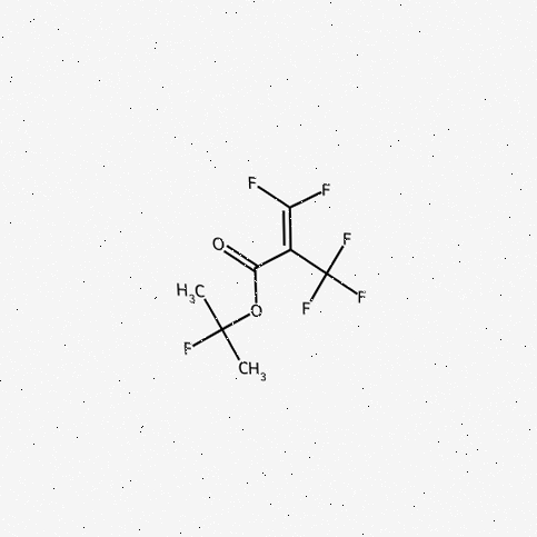 CC(C)(F)OC(=O)C(=C(F)F)C(F)(F)F